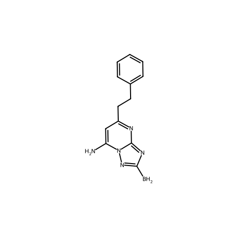 Bc1nc2nc(CCc3ccccc3)cc(N)n2n1